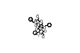 COC[C@H](N)C(=O)N(C(=O)OCc1ccccc1)C(CC1CCCCC1)C(=O)C(F)(F)C(C(C)C)N(C(=O)OCc1ccccc1)C(=O)[C@@H](N)COC